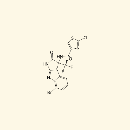 O=C(NC1(C(F)(F)F)C(=O)Nc2nc3c(Br)cccc3n21)c1csc(Cl)n1